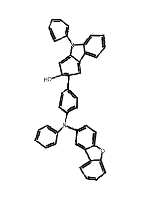 Oc1cc2c(cc1-c1ccc(N(c3ccccc3)c3ccc4oc5ccccc5c4c3)cc1)c1ccccc1n2-c1ccccc1